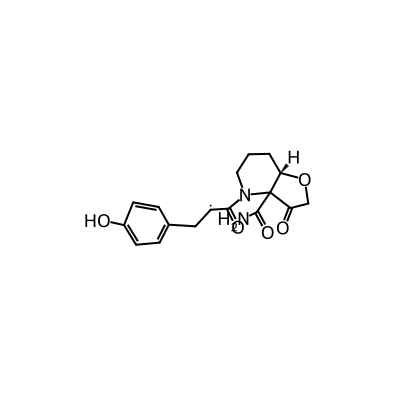 NC(=O)C12C(=O)CO[C@H]1CCCN2C(=O)[CH]Cc1ccc(O)cc1